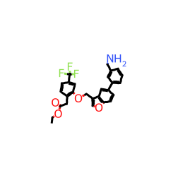 CCOC(=O)Cc1ccc(C(F)(F)F)cc1OCc1coc2ccc(-c3cccc(CN)c3)cc12